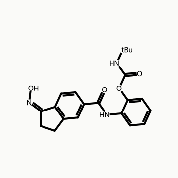 CC(C)(C)NC(=O)Oc1ccccc1NC(=O)c1ccc2c(c1)CC/C2=N/O